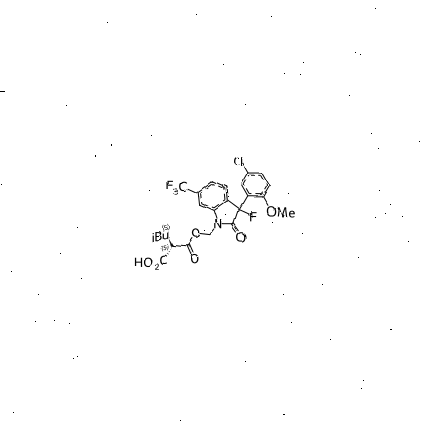 CC[C@H](C)[C@@H](C(=O)O)C(=O)OCN1C(=O)C(F)(c2cc(Cl)ccc2OC)c2ccc(C(F)(F)F)cc21